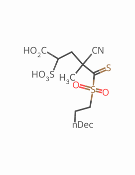 CCCCCCCCCCCCS(=O)(=O)C(=S)C(C)(C#N)CC(C(=O)O)S(=O)(=O)O